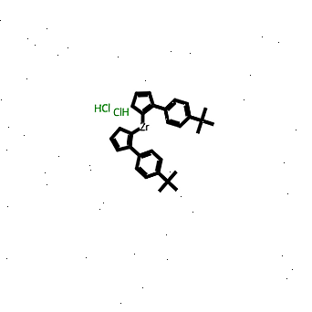 CC(C)(C)c1ccc(C2=[C]([Zr][C]3=C(c4ccc(C(C)(C)C)cc4)C=CC3)CC=C2)cc1.Cl.Cl